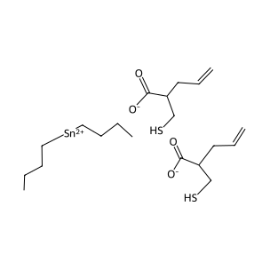 C=CCC(CS)C(=O)[O-].C=CCC(CS)C(=O)[O-].CCC[CH2][Sn+2][CH2]CCC